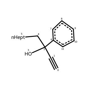 C#CC(O)(CCCCCCCC)c1ccccc1